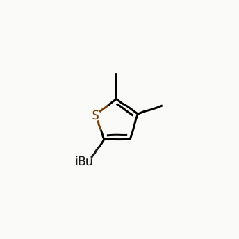 CCC(C)c1cc(C)c(C)s1